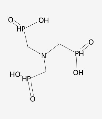 O=[PH](O)CN(C[PH](=O)O)C[PH](=O)O